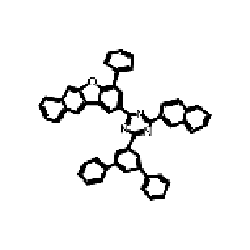 c1ccc(-c2cc(-c3ccccc3)cc(-c3nc(-c4ccc5ccccc5c4)nc(-c4cc(-c5ccccc5)c5oc6cc7ccccc7cc6c5c4)n3)c2)cc1